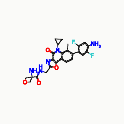 Cc1c(-c2cc(F)c(N)cc2F)ccc2c3oc(CNC(=O)C4(N)COC4)nc3c(=O)n(C3CC3)c12